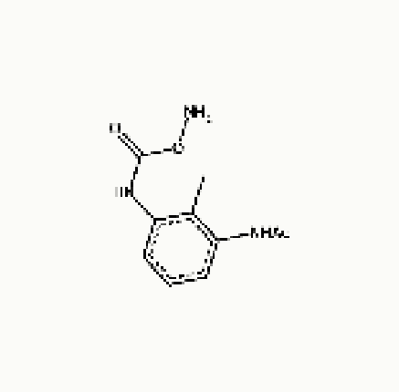 CC(=O)Nc1cccc(NC(=O)ON)c1C